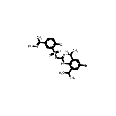 CC(=NO)c1ccc(Cl)c(S(=O)(=O)NC(=O)Nc2c(C(C)C)cc(Br)cc2C(C)C)c1